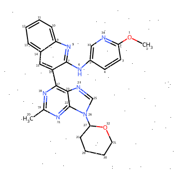 COc1ccc(Nc2nc3ccccc3cc2-c2nc(C)nc3c2ncn3C2CCCCO2)cn1